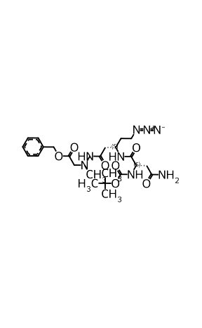 CN(CC(=O)OCc1ccccc1)NC(=O)C[C@H](CCN=[N+]=[N-])NC(=O)[C@H](CC(N)=O)NC(=O)OC(C)(C)C